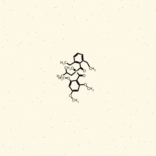 CCc1cccc(CC)c1C(=O)P(=O)(CC(C)C)C(=O)c1c(OC)cc(OC)cc1OC